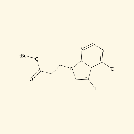 CC(C)(C)OC(=O)CCN1C=C(I)C2C(Cl)=NC=NC21